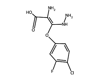 NN/C(Oc1ccc(Cl)c(F)c1)=C(\N)C(=O)O